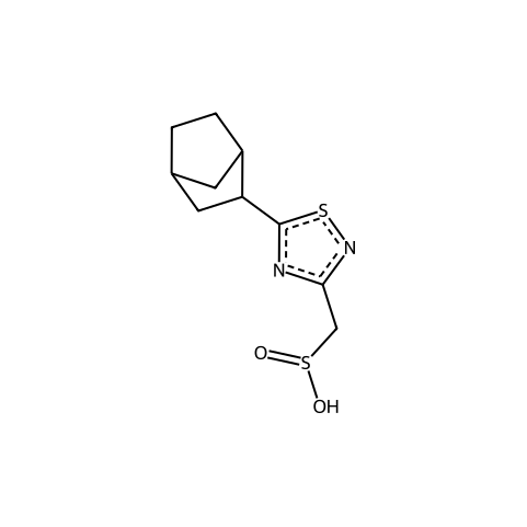 O=S(O)Cc1nsc(C2CC3CCC2C3)n1